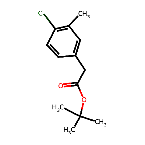 Cc1cc(CC(=O)OC(C)(C)C)ccc1Cl